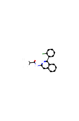 CC(C)C(=O)Nc1cc2ccccc2c(-c2ccccc2Cl)n1